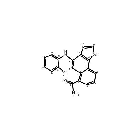 NC(=O)c1cccc2c1nc(Nc1ccccc1Cl)c1ncsc12